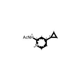 CC(=O)Nc1cc(C2CC2)ccn1